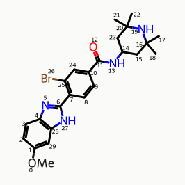 COc1ccc2nc(-c3ccc(C(=O)NC4CC(C)(C)NC(C)(C)C4)cc3Br)[nH]c2c1